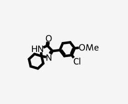 COC1=C(Cl)C=C(C2=NC3(CCCCC3)NC2=O)CC1